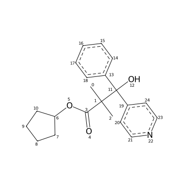 CC(C)(C(=O)OC1CCCC1)C(O)(c1ccccc1)c1ccncc1